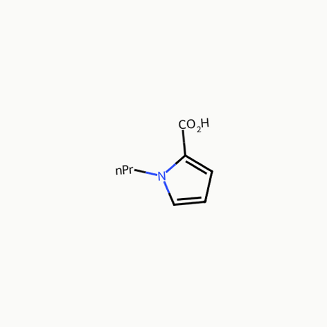 CCCn1cccc1C(=O)O